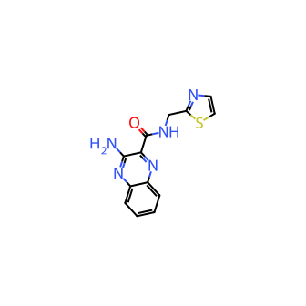 Nc1nc2ccccc2nc1C(=O)NCc1nccs1